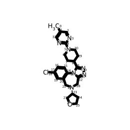 Cc1cnc(N2CCC(c3nnc4n3-c3ccc(Cl)cc3CN([C@@H]3CCOC3)C4)CC2)nc1